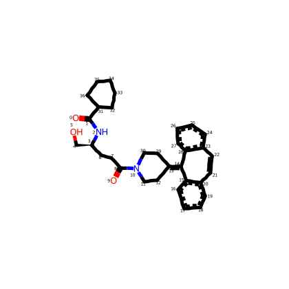 O=C(N[C@H](CO)CCC(=O)N1CCC(=C2c3ccccc3C=Cc3ccccc32)CC1)C1CCCCC1